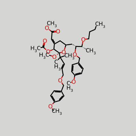 CCCCO[C@H](C)[C@@H](CC1C/C(=C\C(=O)OC)[C@H](OC(C)=O)[C@](OC)(C(C)(C)/C=C/COCc2ccc(OC)cc2)O1)OCc1ccc(OC)cc1